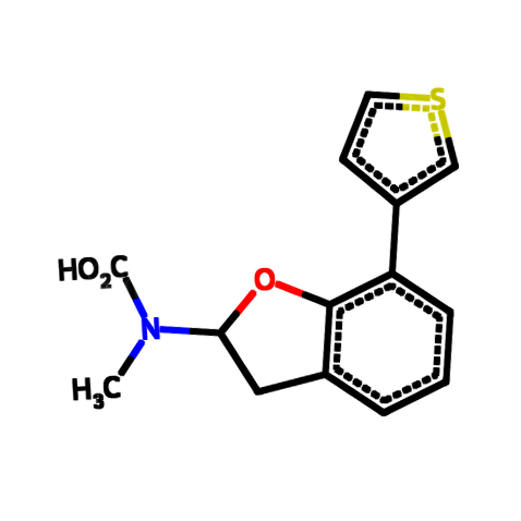 CN(C(=O)O)C1Cc2cccc(-c3ccsc3)c2O1